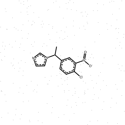 CC(c1ccc(Cl)c([N+](=O)[O-])c1)n1ccnc1